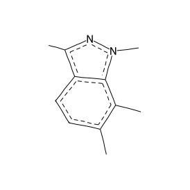 Cc1ccc2c(C)nn(C)c2c1C